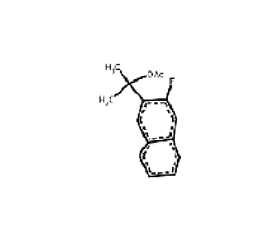 CC(=O)OC(C)(C)c1cc2ccccc2cc1F